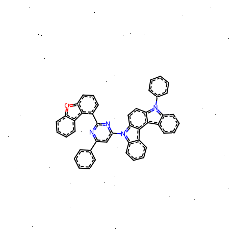 c1ccc(-c2cc(-n3c4ccccc4c4c5c6ccccc6n(-c6ccccc6)c5ccc43)nc(-c3cccc4oc5ccccc5c34)n2)cc1